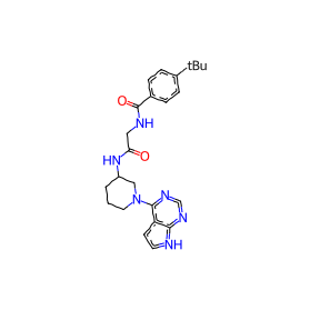 CC(C)(C)c1ccc(C(=O)NCC(=O)NC2CCCN(c3ncnc4[nH]ccc34)C2)cc1